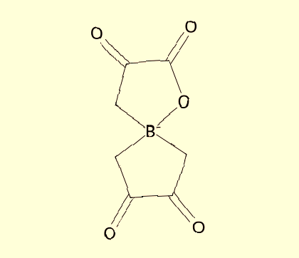 O=C1C[B-]2(CC1=O)CC(=O)C(=O)O2